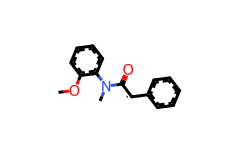 COc1ccccc1N(C)C(=O)[CH]c1ccccc1